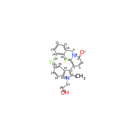 Cc1c(-c2ccc(=O)n(Cc3cccc(F)c3F)c2)c2cc(F)ccc2n1CCO